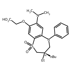 CCCC[C@]1(CC)CN(c2ccccc2)c2cc(N(C)C)c(OCC(=O)O)cc2S(=O)(=O)C1